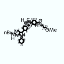 CCCCNc1ncc2c(-c3ccc(S(=O)(=O)N(C)c4ccc(C(=O)NCCCOC)cc4)cc3)nn(C3CCCCC3)c2n1